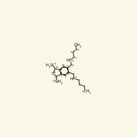 CCCCPCc1cc2c(cc1CPCCCC)C([SiH3])OC2[SiH3]